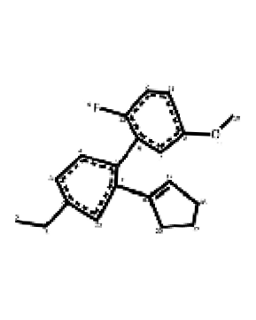 CCc1ccc(-c2cc(OC)ccc2F)c(C2=CCCC2)c1